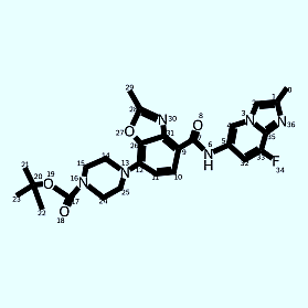 Cc1cn2cc(NC(=O)c3ccc(N4CCN(C(=O)OC(C)(C)C)CC4)c4oc(C)nc34)cc(F)c2n1